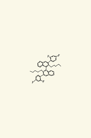 CCCCCc1c(-c2ccc(F)cc2F)cc2ccccc2c1-c1c(CCCCC)c(-c2ccc(F)cc2F)cc2ccccc12